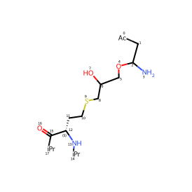 CC(=O)CC(N)OCC(O)CSCC[C@H](NC(C)C)C(=O)C(C)C